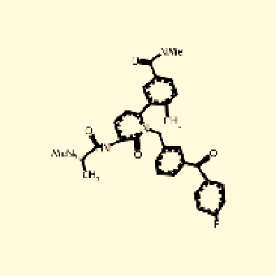 CNC(=O)c1ccc(C)c(-c2ccc(NC(=O)[C@H](C)NC)c(=O)n2Cc2cccc(C(=O)c3ccc(F)cc3)c2)c1